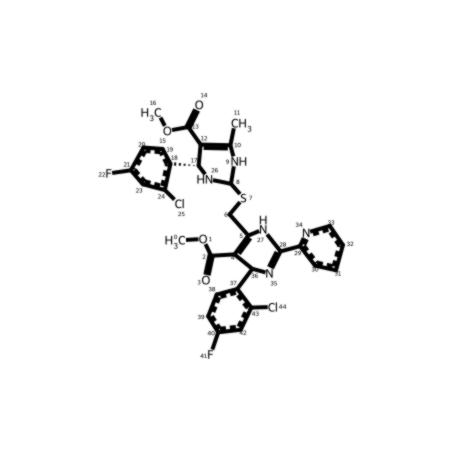 COC(=O)C1=C(CSC2NC(C)=C(C(=O)OC)[C@@H](c3ccc(F)cc3Cl)N2)NC(c2ccccn2)=NC1c1ccc(F)cc1Cl